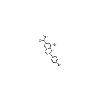 CN(C)C(=O)c1cc(Br)c2c(c1)C=CC(c1ccc(Br)cc1)O2